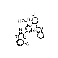 C[C@@H](NC(=O)c1ccc(-c2cc(Cl)ccc2-c2nc3ccccc3[nH]2)c(C(=O)O)c1)c1cccc(Cl)c1